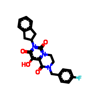 O=C1c2c(O)c(=O)n(C3Cc4ccccc4C3)c(=O)n2CCN1Cc1ccc(F)cc1